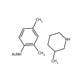 CC(=O)Nc1ccc(C)cc1C.CC1CCCNC1